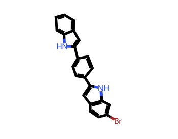 Brc1ccc2cc(-c3ccc(-c4cc5ccccc5[nH]4)cc3)[nH]c2c1